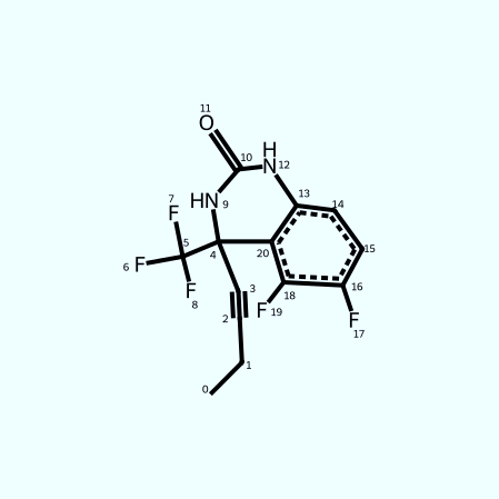 CCC#CC1(C(F)(F)F)NC(=O)Nc2ccc(F)c(F)c21